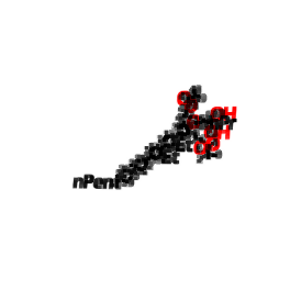 C=C(C)C(=O)OCCCc1cc(-c2ccc(-c3ccc(C4CCC(C5CCC(CCCCC)CC5)CC4)cc3CC)cc2CC)cc(CCCOC(=O)C(=C)C)c1OCCC(CO)(CO)CCC